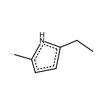 [CH2]c1ccc(CC)[nH]1